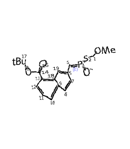 COCS/[P+]([O-])=C/c1ccc2cccc(C(=O)OC(C)(C)C)c2c1